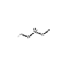 CO[SiH2]O[SiH3]